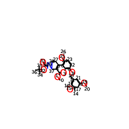 COC(=O)C1=C(c2cc(OCC3=CC(C)(OC)CC(OC)=C3)ccc2OC)CCN(C(=O)OC(C)(C)C)C1